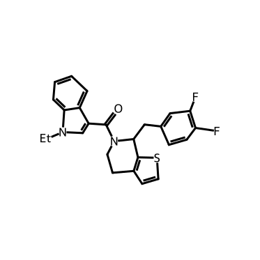 CCn1cc(C(=O)N2CCc3ccsc3C2Cc2ccc(F)c(F)c2)c2ccccc21